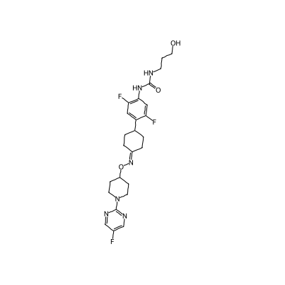 O=C(NCCCO)Nc1cc(F)c(C2CCC(=NOC3CCN(c4ncc(F)cn4)CC3)CC2)cc1F